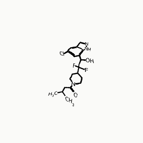 CC(C)CC(=O)N1CCC(C(F)(F)C(O)c2cc(Cl)cc3cn[nH]c23)CC1